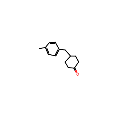 Cc1ccc(CC2CCC(=O)CC2)cc1